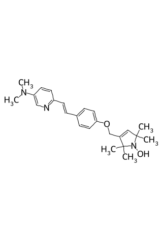 CN(C)c1ccc(/C=C/c2ccc(OCC3=CC(C)(C)N(O)C3(C)C)cc2)nc1